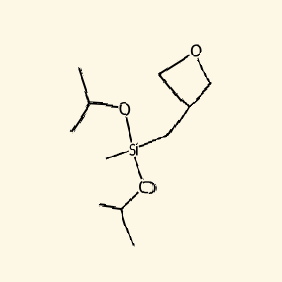 CC(C)O[Si](C)(CC1COC1)OC(C)C